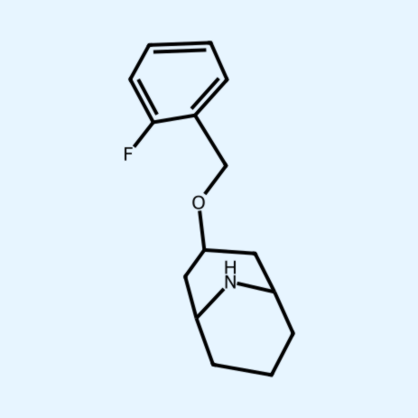 Fc1ccccc1COC1CC2CCCC(C1)N2